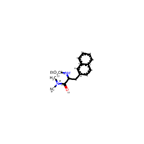 CCOC(=O)NC(Cc1ccc2ccccc2c1)C(=O)N(C)C#N